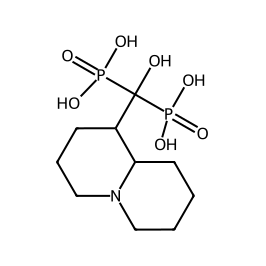 O=P(O)(O)C(O)(C1CCCN2CCCCC12)P(=O)(O)O